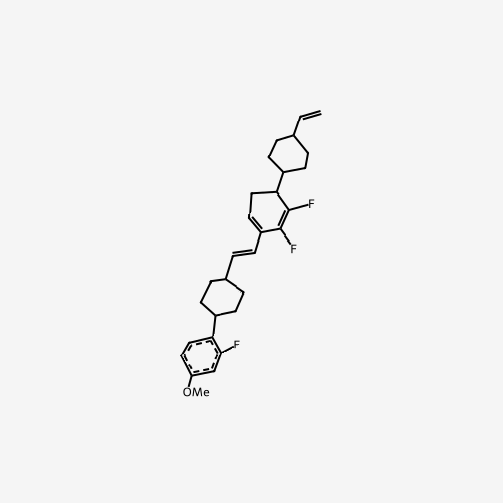 C=CC1CCC(C2CC=C(/C=C/C3CCC(c4ccc(OC)cc4F)CC3)C(F)=C2F)CC1